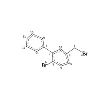 BrCc1ccc(Br)c(-c2ccccc2)c1